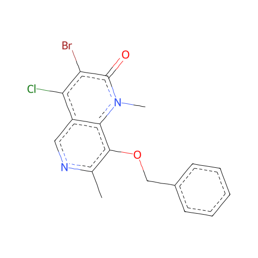 Cc1ncc2c(Cl)c(Br)c(=O)n(C)c2c1OCc1ccccc1